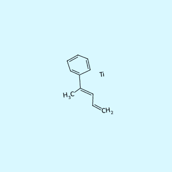 C=CC=C(C)c1ccccc1.[Ti]